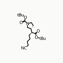 CC(C)(C)OC(=O)[C@@H](CCCCC#N)[C@H]1CCN(C(=O)OC(C)(C)C)C1